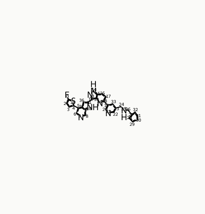 Fc1ccc(-c2cncc3[nH]c(-c4n[nH]c5ccc(-c6cncc(CNCc7ccccc7)c6)nc45)cc23)s1